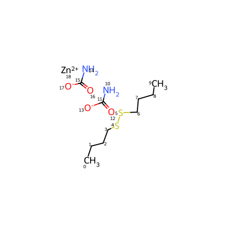 CCCCSSCCCC.NC(=O)[O-].NC(=O)[O-].[Zn+2]